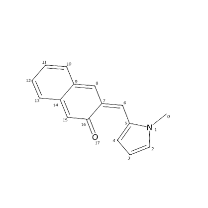 Cn1cccc1/C=C1/C=c2ccccc2=CC1=O